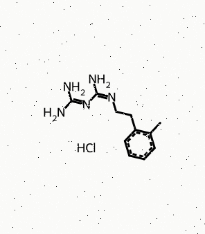 Cc1ccccc1CCN=C(N)N=C(N)N.Cl